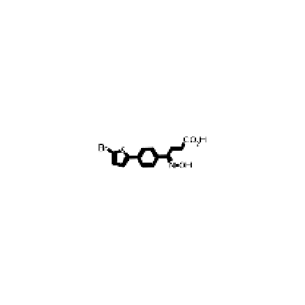 O=C(O)CC/C(=N\O)c1ccc(-c2ccc(Br)s2)cc1